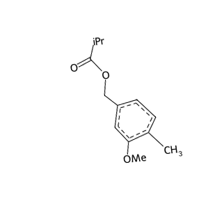 COc1cc(COC(=O)C(C)C)ccc1C